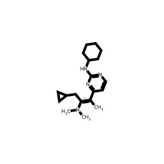 C/C(=C(/CC1CC1)N(C)C)c1ccnc(NC2CCCCC2)n1